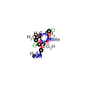 COC[C@@H]1NC(=O)[C@H](CCC(=O)O)N(Cc2ccc(Cl)cc2Oc2ccc(-c3cnc(CN4CCCC4)n3C)cc2)C(=O)C[C@@H]([C@H]2CC(C)(C)c3ccccc32)C(=O)N(C)C[C@@H](Cc2ccc(Cl)cc2)N(C)C1=O